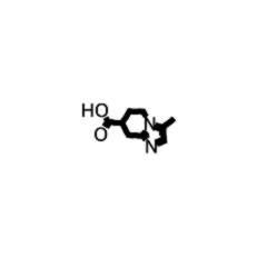 Cc1cnc2n1CCC(C(=O)O)C2